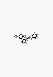 Clc1ccc(Cl)c(-c2cccc3c2OC([CH]Cc2ccccc2)C3)c1